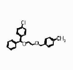 Cc1ccc(COCCOC(c2ccccc2)c2ccc(Cl)cc2)cc1